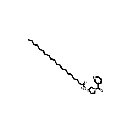 CCC=CCC=CCC=CCC=CCC=CCCCC(=O)N[C@H]1CCN(C(=O)c2cccnc2)C1